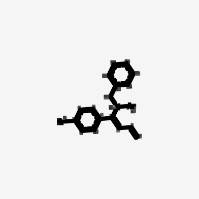 C=C/C=C(/c1ccc(Br)cc1)N(Cc1ccccc1)C(C)=O